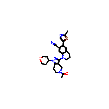 CC(=O)N1CCc2c(c(N3CCCc4cc(-c5cnc(C)s5)c(C#N)cc43)nn2C2CCOCC2)C1